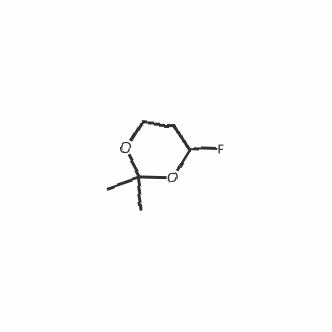 CC1(C)OCCC(F)O1